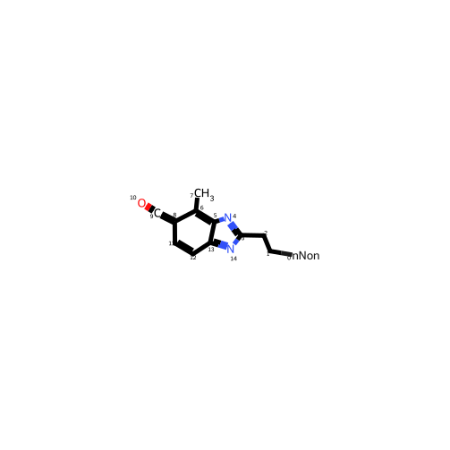 CCCCCCCCCCCC1=Nc2c(C)c(=C=O)ccc2=N1